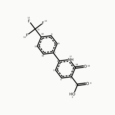 O=C(O)c1ccc(-c2ccc(C(F)(F)F)cc2)[nH]c1=O